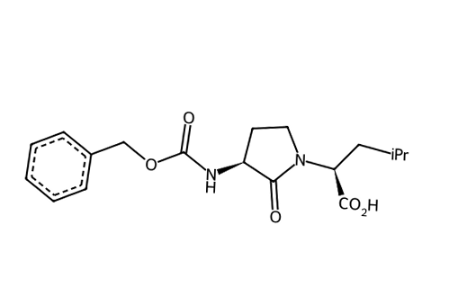 CC(C)C[C@@H](C(=O)O)N1CC[C@H](NC(=O)OCc2ccccc2)C1=O